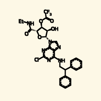 CCNC(=O)[C@H]1O[C@@H](n2cnc3c(NCC(c4ccccc4)c4ccccc4)nc(Cl)nc32)[C@H](O)[C@@H]1OC(=O)C(F)(F)F